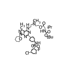 Cc1nn(C2CCCCO2)c2nc(-c3ccc(NS(=O)(=O)c4cc(Cl)ccc4F)cc3)nc(NCCN(C)CCOC(=O)[C@@H](NC(=O)OC(C)(C)C)C(C)C)c12